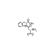 COC(=O)[C@@H](N)CC(=O)N[C@@H](Cc1ccccc1)C(=O)O